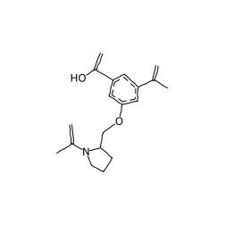 C=C(C)c1cc(OCC2CCCN2C(=C)C)cc(C(=C)O)c1